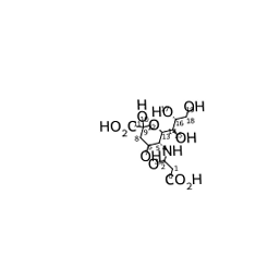 O=C(O)CC(=O)N[C@@H]1C(O)CC(O)(C(=O)O)OC1[C@H](O)[C@H](O)CO